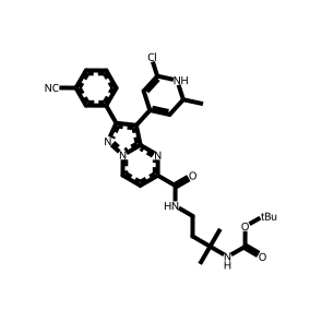 CC1C=C(c2c(-c3cccc(C#N)c3)nn3ccc(C(=O)NCCC(C)(C)NC(=O)OC(C)(C)C)nc23)C=C(Cl)N1